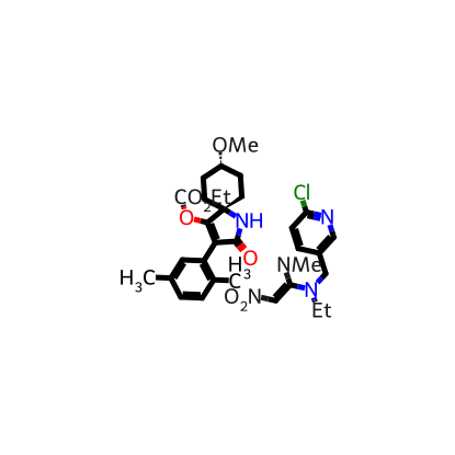 CCN(Cc1ccc(Cl)nc1)/C(=C/[N+](=O)[O-])NC.CCOC(=O)OC1=C(c2cc(C)ccc2C)C(=O)N[C@]12CC[C@@H](OC)CC2